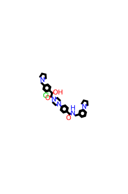 O=C(NCc1cccc(N2CCCC2)c1)c1ccc(N2CCN(C(=O)C(O)c3ccc(CN4CCCC4)cc3Cl)CC2)cc1